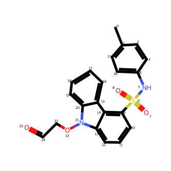 Cc1ccc(NS(=O)(=O)c2cccc3c2c2ccccc2n3OCC=O)cc1